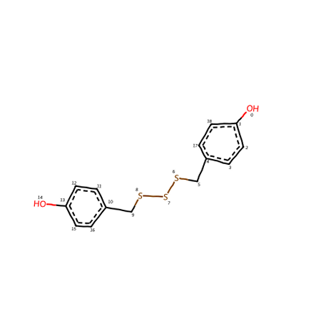 Oc1ccc(CSSSCc2ccc(O)cc2)cc1